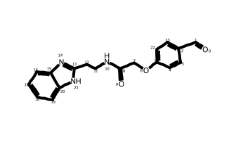 O=Cc1ccc(OCC(=O)NCCc2nc3ccccc3[nH]2)cc1